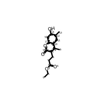 CCOC(=O)CCc1c(C)c2cc(C)c(O)cc2oc1=O